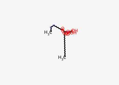 CCCC/C=C\C/C=C\CCCCCCCC(=O)OC[C@H](COP(=O)(O)OC[C@@H](O)CO)OC(=O)CCCCCCCCCCCCCCCCCCCCC